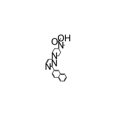 CN(C(=O)O)C1CCN(c2ccnc(-c3ccc4ccccc4c3)n2)CC1